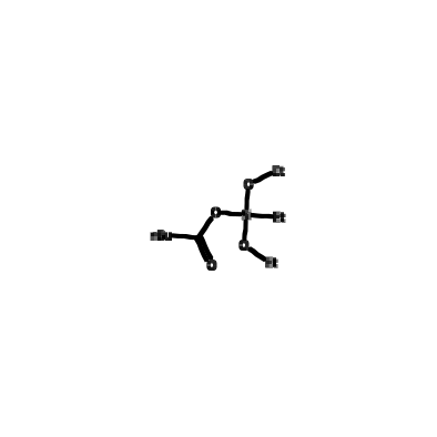 CCCCC(=O)O[Si](CC)(OCC)OCC